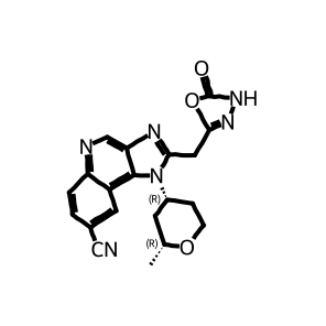 C[C@@H]1C[C@H](n2c(Cc3n[nH]c(=O)o3)nc3cnc4ccc(C#N)cc4c32)CCO1